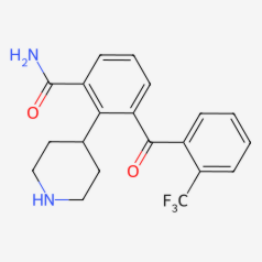 NC(=O)c1cccc(C(=O)c2ccccc2C(F)(F)F)c1C1CCNCC1